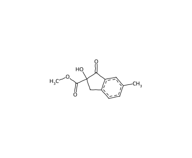 COC(=O)C1(O)Cc2ccc(C)cc2C1=O